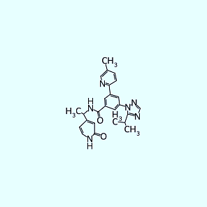 Cc1ccc(-c2cc(C(=O)NC(C)c3cc[nH]c(=O)c3)cc(-n3ncnc3C(C)C)c2)nc1